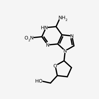 NC1NC([N+](=O)[O-])=Nc2c1ncn2C1CCC(CO)O1